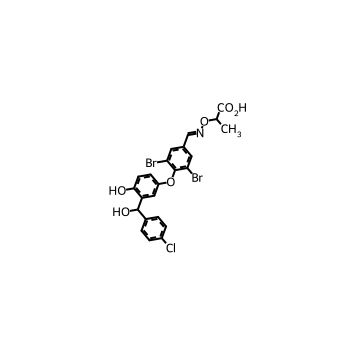 CC(ON=Cc1cc(Br)c(Oc2ccc(O)c(C(O)c3ccc(Cl)cc3)c2)c(Br)c1)C(=O)O